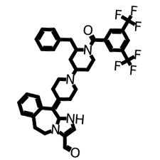 O=CC1=CNC2C(=C3CCN(C4CCN(C(=O)c5cc(C(F)(F)F)cc(C(F)(F)F)c5)C(Cc5ccccc5)C4)CC3)c3ccccc3CCN12